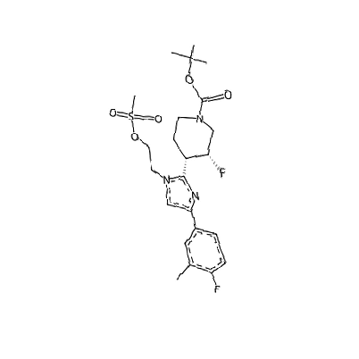 Cc1cc(-c2cn(CCOS(C)(=O)=O)c([C@@H]3CCN(C(=O)OC(C)(C)C)C[C@@H]3F)n2)ccc1F